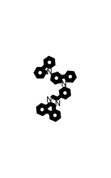 c1cc(-c2cnc3c4ccccc4c4ccccc4c3n2)cc(-n2c3ccccc3c3cc(-n4c5ccccc5c5ccccc54)ccc32)c1